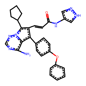 Nc1ncnn2c(C3CCCC3)c(/C=C/C(=O)Nc3cn[nH]c3)c(-c3ccc(Oc4ccccc4)cc3)c12